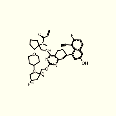 C#Cc1c(F)ccc2cc(O)cc(C3=Cc4nc(OC[C@]5(C)C[C@@H](F)CN5C5CCOCC5)nc(NCC5(N(C)C(=O)C=C)CCCC5)c4CC3)c12